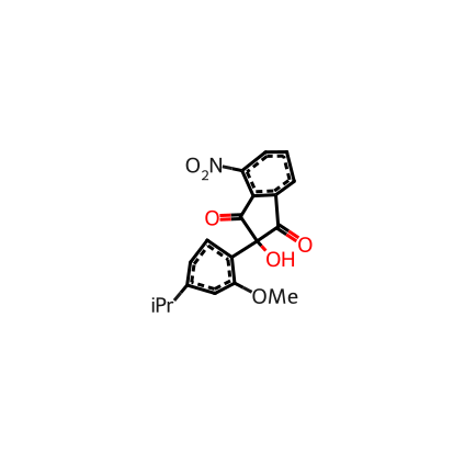 COc1cc(C(C)C)ccc1C1(O)C(=O)c2cccc([N+](=O)[O-])c2C1=O